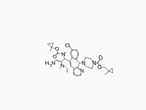 C=CN(C)/C(=C\N)C(C1=Cc2cccnc2C(N2CCN(C(=O)OCC3(C)CC3)CC2)c2ccc(Cl)cc21)N(C)C(=O)OC1(C)CC1